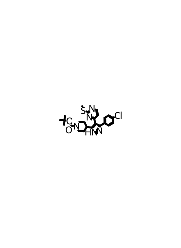 CSc1nccc(-c2c(-c3ccc(Cl)cc3)n[nH]c2C2CCN(C(=O)OC(C)(C)C)CC2)n1